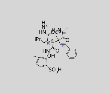 CC(C)C[C@@H](C(=O)NN)[C@H](C(=O)NO)C(/C=C/c1ccccc1)(CC(F)(F)F)C(=O)[C@@H](C)N.Cc1ccc(S(=O)(=O)O)cc1